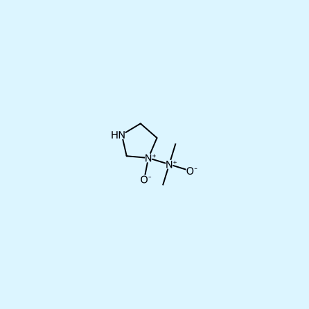 C[N+](C)([O-])[N+]1([O-])CCNC1